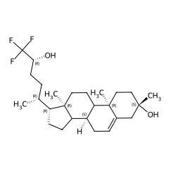 C[C@H](CC[C@@H](O)C(F)(F)F)[C@H]1CCC2[C@@H]3CC=C4C[C@@](C)(O)CC[C@]4(C)C3CC[C@@]21C